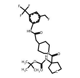 CC(C)(C)OC(=O)NC1(C(=O)N2CCC(CC(=O)Nc3cc(CF)cc(C(F)(F)F)c3)CC2)CCCCC1